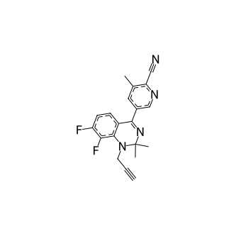 C#CCN1c2c(ccc(F)c2F)C(c2cnc(C#N)c(C)c2)=NC1(C)C